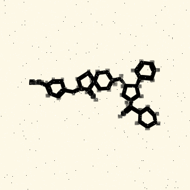 COc1ccc(CN2CCC3(CCN(C[C@H]4CN(C(=O)C5CCCCC5)C[C@@H]4c4ccccc4)CC3)C2=O)cc1